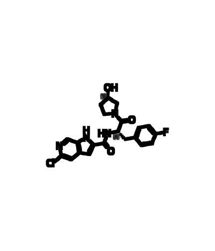 O=C(N[C@@H](Cc1ccc(F)cc1)C(=O)N1CC[C@H](O)C1)c1cc2cc(Cl)ncc2[nH]1